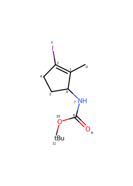 CC1=C(I)CCC1NC(=O)OC(C)(C)C